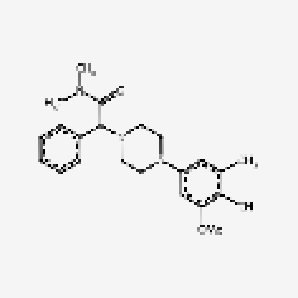 COc1cc(N2CCN(C(C(=O)N(C)C)c3ccccc3)CC2)cc(C)c1C#N